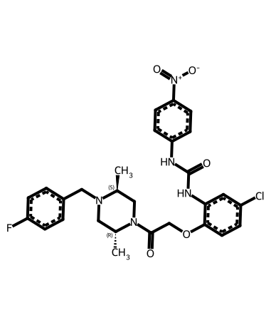 C[C@@H]1CN(Cc2ccc(F)cc2)[C@@H](C)CN1C(=O)COc1ccc(Cl)cc1NC(=O)Nc1ccc([N+](=O)[O-])cc1